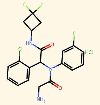 Cl.NCC(=O)N(c1cccc(F)c1)C(C(=O)NC1CC(F)(F)C1)c1ccccc1Cl